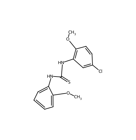 COc1ccccc1NC(=S)Nc1cc(Cl)ccc1OC